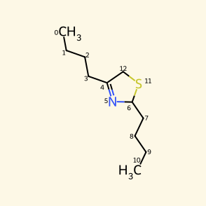 CCCCC1=NC(CCCC)SC1